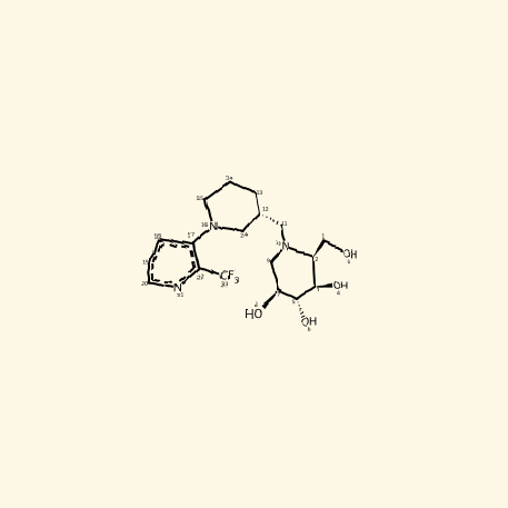 OC[C@H]1[C@@H](O)[C@H](O)[C@@H](O)CN1C[C@H]1CCCN(c2cccnc2C(F)(F)F)C1